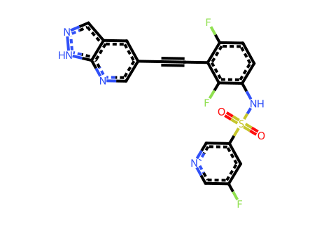 O=S(=O)(Nc1ccc(F)c(C#Cc2cnc3[nH]ncc3c2)c1F)c1cncc(F)c1